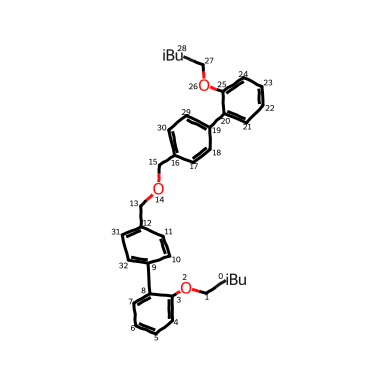 CCC(C)COc1ccccc1-c1ccc(COCc2ccc(-c3ccccc3OCC(C)CC)cc2)cc1